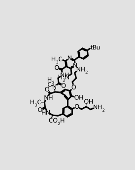 Cc1nc(-c2ccc(C(C)(C)C)cc2)nc(CN)c1C(=O)NCC(=O)N(C)[C@@H]1C(=O)N[C@@H](C)C(=O)N[C@H](C(=O)O)Cc2ccc(OC[C@H](O)CN)c(c2)-c2cc1cc(OCCCN)c2O